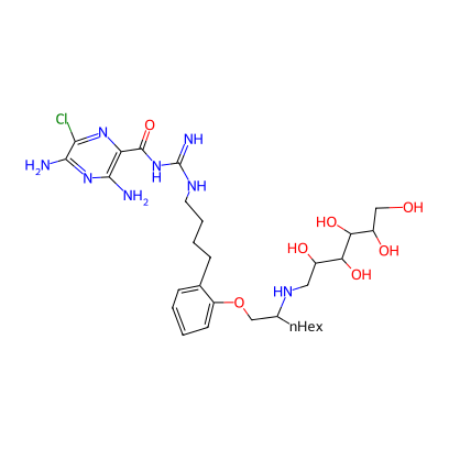 CCCCCCC(COc1ccccc1CCCCNC(=N)NC(=O)c1nc(Cl)c(N)nc1N)NCC(O)C(O)C(O)C(O)CO